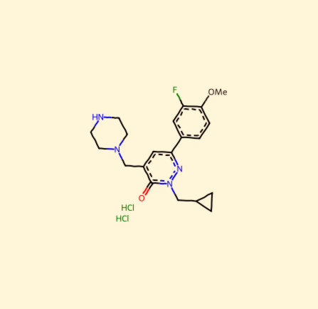 COc1ccc(-c2cc(CN3CCNCC3)c(=O)n(CC3CC3)n2)cc1F.Cl.Cl